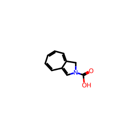 O=C(O)N1C=C2C=CC=CC=C2C1